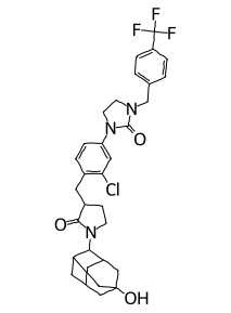 O=C1N(Cc2ccc(C(F)(F)F)cc2)CCN1c1ccc(CC2CCN(C3C4CC5CC3CC(O)(C5)C4)C2=O)c(Cl)c1